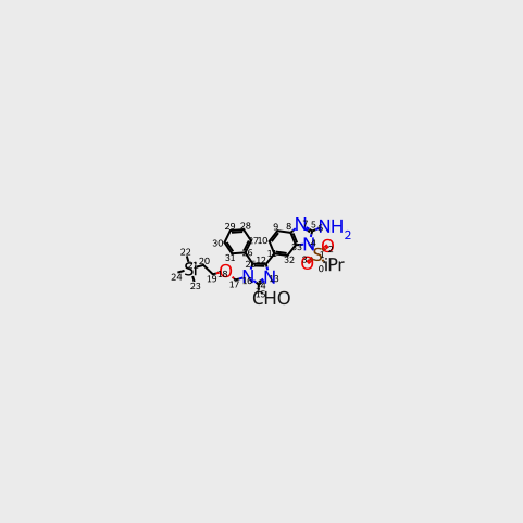 CC(C)S(=O)(=O)n1c(N)nc2ccc(-c3nc(C=O)n(COCC[Si](C)(C)C)c3-c3ccccc3)cc21